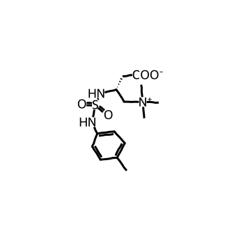 Cc1ccc(NS(=O)(=O)N[C@H](CC(=O)[O-])C[N+](C)(C)C)cc1